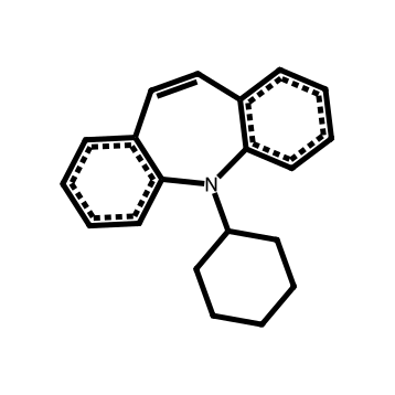 C1=Cc2ccccc2N(C2CCCCC2)c2ccccc21